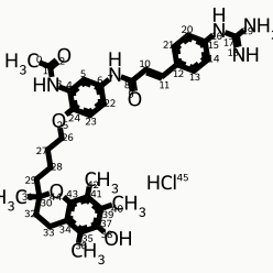 CC(=O)Nc1cc(NC(=O)C=Cc2ccc(NC(=N)N)cc2)ccc1OCCCCC1(C)CCc2c(C)c(O)c(C)c(C)c2O1.Cl